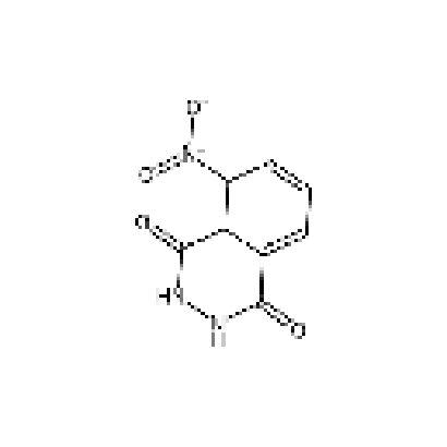 O=C1NNC(=O)C2C1=CC=CC2[N+](=O)[O-]